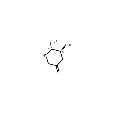 O=C[C@H]1CC(=O)CN[C@@H]1C(=O)O